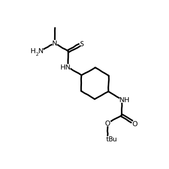 CN(N)C(=S)NC1CCC(NC(=O)OC(C)(C)C)CC1